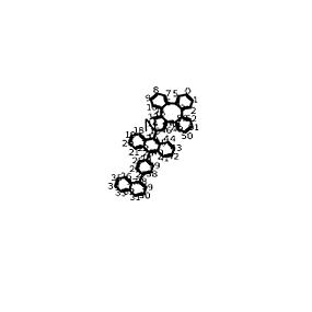 c1ccc2c(c1)-c1ccccc1-c1cnc(-c3c4ccccc4c(-c4ccc(-c5cccc6ccccc56)cc4)c4ccccc34)cc1-c1ccccc1-2